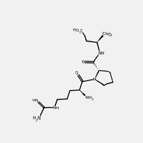 N=C(N)NCCC[C@H](N)C(=O)N1CCC[C@H]1C(=O)N[C@H]([C]=O)CC(=O)O